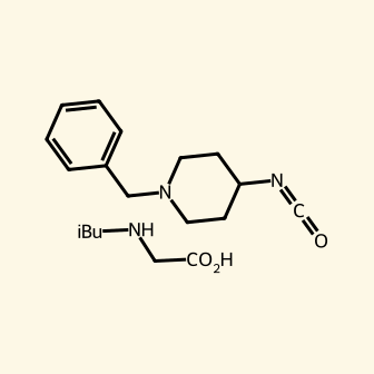 CCC(C)NCC(=O)O.O=C=NC1CCN(Cc2ccccc2)CC1